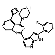 Fc1ccccc1-c1cc2c(-c3nc(N4CCNCC4)c4c(C5=CC=C5)cncc4n3)ccnc2[nH]1